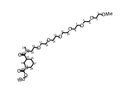 COCCOCCOCCOCCOCCOCCOCCN(C)C(=O)C1CCCN(C(=O)OC(C)(C)C)C1